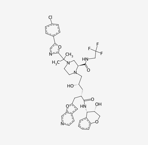 CC(C)(c1ncc(-c2ccc(Cl)cc2)o1)N1CCN(C[C@@H](O)C[C@@H](Cc2cc3ccncc3o2)C(=O)N[C@H]2c3ccccc3OC[C@H]2O)[C@H](C(=O)NCC(F)(F)F)C1